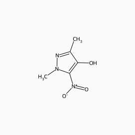 Cc1nn(C)c([N+](=O)[O-])c1O